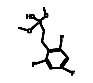 CO[Si](O)(CCc1c(F)cc(F)cc1F)OC